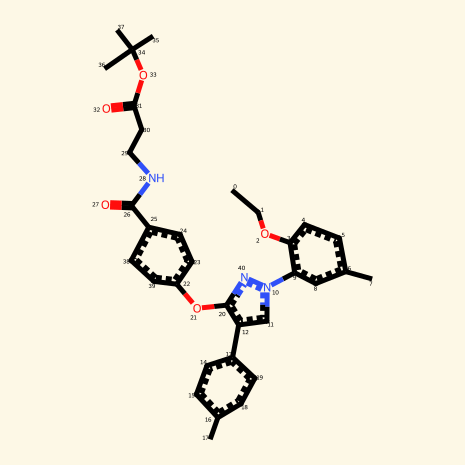 CCOc1ccc(C)cc1-n1cc(-c2ccc(C)cc2)c(Oc2ccc(C(=O)NCCC(=O)OC(C)(C)C)cc2)n1